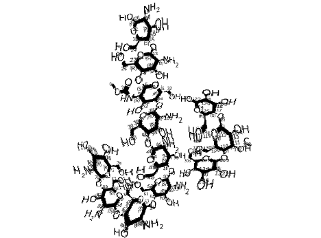 COC(=O)N[C@H]1[C@H](O[C@H]2[C@H](O)[C@@H](N)[C@H](O[C@H]3[C@H](O)[C@@H](N)[C@H](O)O[C@@H]3CO)O[C@@H]2CO)O[C@H](CO)[C@@H](O[C@@H]2O[C@H](CO)[C@@H](O[C@@H]3O[C@H](CO)[C@@H](O[C@@H]4O[C@H](CO)[C@@H](O[C@@H]5O[C@H](CO)[C@@H](O[C@@H]6O[C@H](CO)[C@@H](O[C@@H]7O[C@H](CO)[C@@H](O)[C@H](O)[C@H]7N)[C@H](O)[C@H]6N)[C@H](O)[C@H]5N)[C@H](O)[C@H]4N)[C@H](O)[C@H]3N)[C@H](O)[C@H]2N)[C@@H]1O.OC[C@H]1O[C@@H](O[C@H]2[C@H](O)[C@@H](O)[C@H](O[C@H]3[C@H](O)[C@@H](O)C(O)O[C@@H]3CO)O[C@@H]2CO)[C@H](O)[C@@H](O)[C@@H]1O.[C]